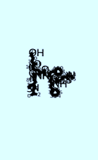 CC(C)c1nc(CN(C)C(=O)NC(CCN(C)C(=O)CCCO)C(=O)NC(CCC(Cc2ccccc2)NC(=O)OCc2cncs2)Cc2ccccc2)cs1